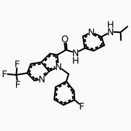 CC(C)Nc1ccc(NC(=O)c2cc3cc(C(F)(F)F)cnc3n2Cc2cccc(F)c2)cn1